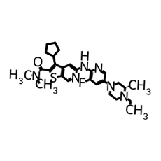 CCN1CCN(c2cnc(Nc3cc4c(C5CCCC5)c(C(=O)N(C)C)sc4cn3)c(F)c2)C[C@@H]1C